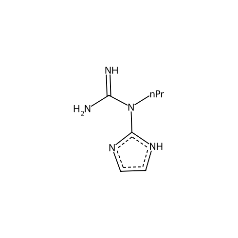 CCCN(C(=N)N)c1ncc[nH]1